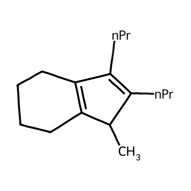 CCCC1=C(CCC)C(C)C2=C1CCCC2